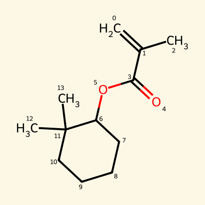 C=C(C)C(=O)OC1CCCCC1(C)C